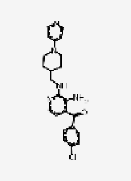 Nc1c(C(=O)c2ccc(Cl)cc2)ccnc1NCC1CCN(c2ccncc2)CC1